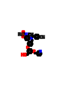 CCS(=O)(=O)Nc1cccc(N(Cc2ccc(C#N)cc2)Cc2ccc(Oc3cc(CO)cc(OCc4cccnc4)c3)cc2)c1C